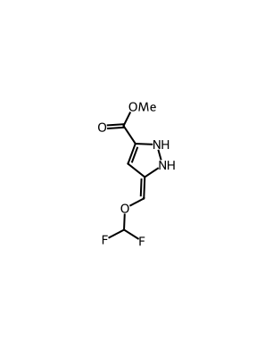 COC(=O)C1=CC(=COC(F)F)NN1